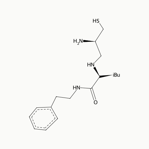 CC[C@H](C)[C@H](NC[C@@H](N)CS)C(=O)NCCc1ccccc1